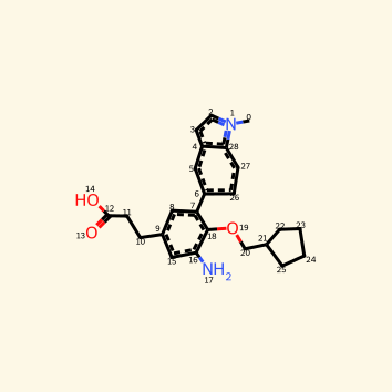 Cn1ccc2cc(-c3cc(CCC(=O)O)cc(N)c3OCC3CCCC3)ccc21